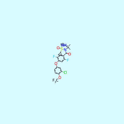 CC(C)(C)[Si](C)(C)N(C(=O)c1cc(F)c(Oc2ccc(OC(F)(F)F)c(Cl)c2)cc1F)S(=N)(=O)C1CC1